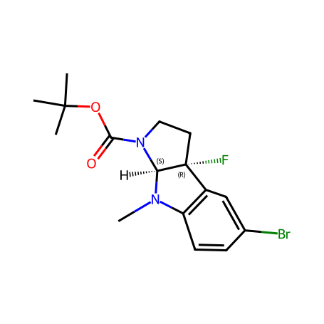 CN1c2ccc(Br)cc2[C@]2(F)CCN(C(=O)OC(C)(C)C)[C@H]12